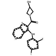 O=C(c1sc2ccncc2c1Nc1ccc(I)cc1F)N1CC(O)C1